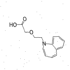 O=C(O)COCCN1C=CC=Cc2ccccc21